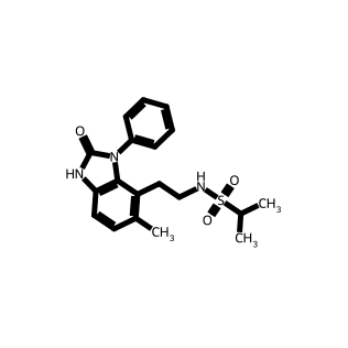 Cc1ccc2[nH]c(=O)n(-c3ccccc3)c2c1CCNS(=O)(=O)C(C)C